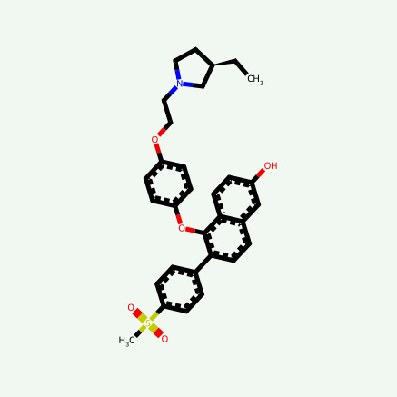 CC[C@@H]1CCN(CCOc2ccc(Oc3c(-c4ccc(S(C)(=O)=O)cc4)ccc4cc(O)ccc34)cc2)C1